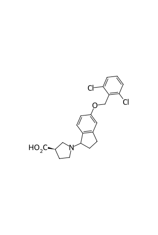 O=C(O)[C@@H]1CCN(C2CCc3cc(OCc4c(Cl)cccc4Cl)ccc32)C1